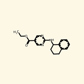 CCOC(=O)c1cnc(NC2CCCc3ccccc32)nc1